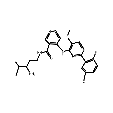 COc1cnc(-c2cc(Cl)ccc2F)nc1Nc1ccncc1C(=O)NCCC(N)C(C)C